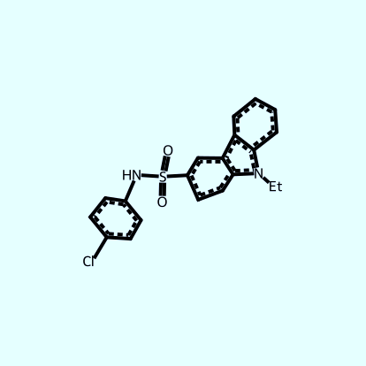 CCn1c2ccccc2c2cc(S(=O)(=O)Nc3ccc(Cl)cc3)ccc21